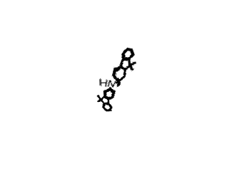 CC1(Nc2ccc3c(c2)C(C)(C)c2ccccc2-3)CC=C2c3ccccc3C(C)(C)C2C1